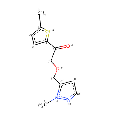 Cc1ccc(C(=O)COCc2ccnn2C)s1